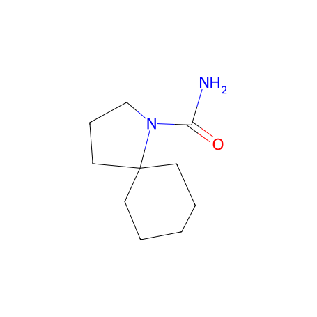 NC(=O)N1CCCC12CCCCC2